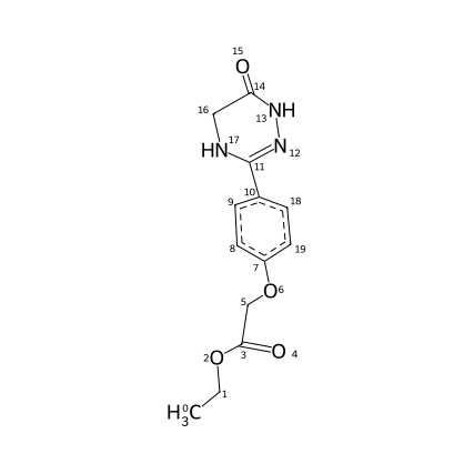 CCOC(=O)COc1ccc(C2=NNC(=O)CN2)cc1